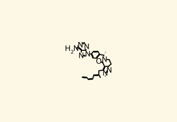 C=C/C=C\C=C(/C)Cc1c2c(nn1C)CCN([C@@H](C)c1ccc(-n3cnc4c(N)ncnc43)cc1)C2=O